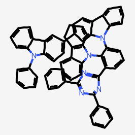 C1=Cc2c(c3ccccc3n2-c2c(-c3nc(-c4ccccc4)nc(-c4ccccc4)n3)cccc2-n2c3ccccc3c3ccc(-c4ccc5c(c4)c4ccccc4n5-c4ccccc4)cc32)CC1